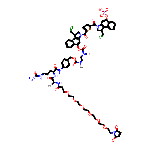 CCN(CCN(CC)C(=O)Oc1cc2c(c3ccccc13)C(CCl)CN2C(=O)c1ccc(C(=O)N2CC(CCl)c3c2cc(OP(=O)(O)O)c2ccccc32)s1)C(=O)OCc1ccc(NC(=O)C(CCCNC(N)=O)NC(=O)C(NC(=O)CCOCCOCCOCCOCCOCCOCCN2C(=O)C=CC2=O)C(C)C)cc1